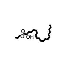 CCCCC/C=C\C/C=C\C/C=C\C/C=C\CCC(O)C(=O)OCCC